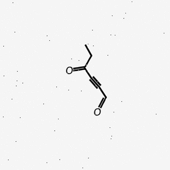 CCC(=O)C#CC=O